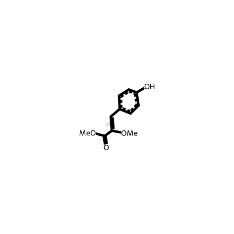 COC(=O)/C(=C/c1ccc(O)cc1)OC